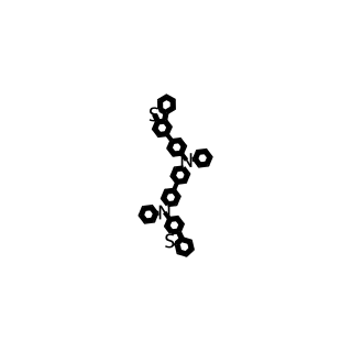 c1ccc(N(c2ccc(-c3ccc(N(c4ccccc4)c4ccc5c(c4)sc4ccccc45)cc3)cc2)c2ccc(-c3ccc4sc5ccccc5c4c3)cc2)cc1